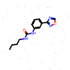 CCCCNC(=O)Nc1cccc(-c2ncon2)c1